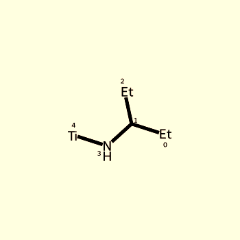 CCC(CC)[NH][Ti]